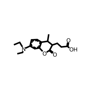 CCN(CC)c1ccc2c(c1)OC(=O)C(CCC(=O)O)C2C